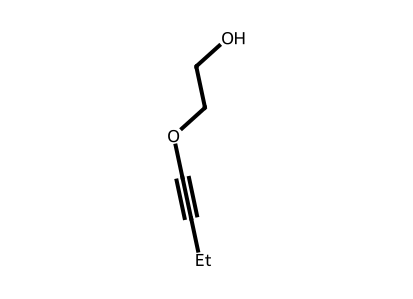 CCC#COCCO